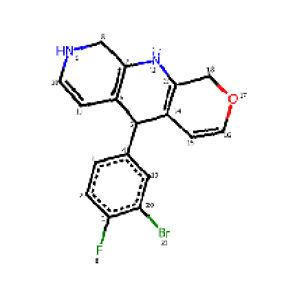 Fc1ccc(C2C3=C(CNC=C3)NC3=C2C=COC3)cc1Br